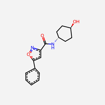 O=C(N[C@H]1CC[C@H](O)CC1)c1cc(-c2ccccc2)on1